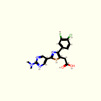 CN(C)c1ncc(-c2nc(-c3ccc(Cl)c(F)c3)c(CC(=O)O)s2)cn1